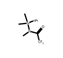 CCC[Si](C)(C)N(C)C(=O)C(F)(F)F